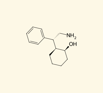 NC[C@@H](c1ccccc1)[C@@H]1CCCC[C@@H]1O